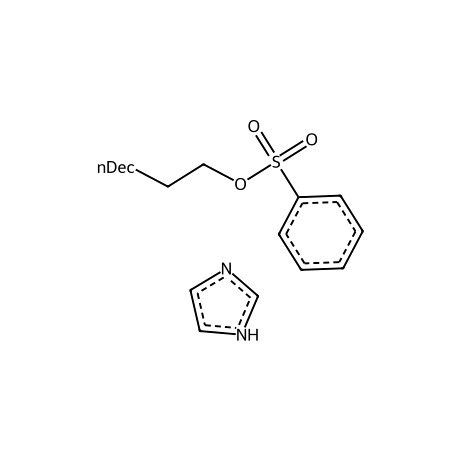 CCCCCCCCCCCCOS(=O)(=O)c1ccccc1.c1c[nH]cn1